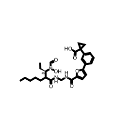 CCCCCC(C(=O)NCNC(=O)c1ccc(-c2cccc(C3(C(=O)O)CC3)c2)o1)[C@@H](CC)N(O)C=O